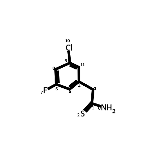 NC(=S)Cc1cc(F)cc(Cl)c1